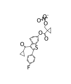 O=C(c1c(-c2ccc(F)cc2)sc2cc(OC(=O)C3(CO[N+](=O)[O-])CC3)ccc12)C1CC1